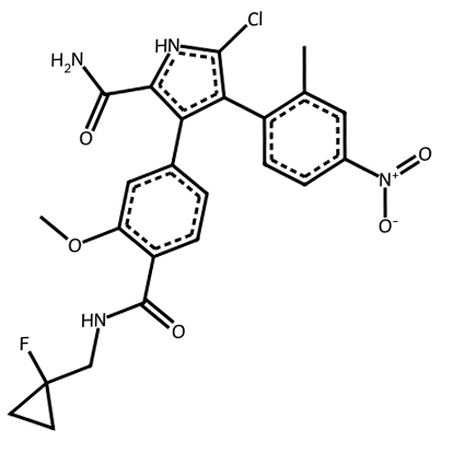 COc1cc(-c2c(C(N)=O)[nH]c(Cl)c2-c2ccc([N+](=O)[O-])cc2C)ccc1C(=O)NCC1(F)CC1